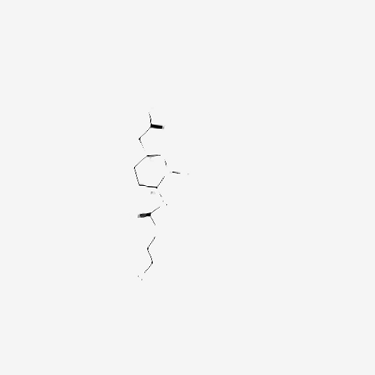 NCCOC(=O)N[C@H]1CC[C@@H](CC(=O)O)OB1O